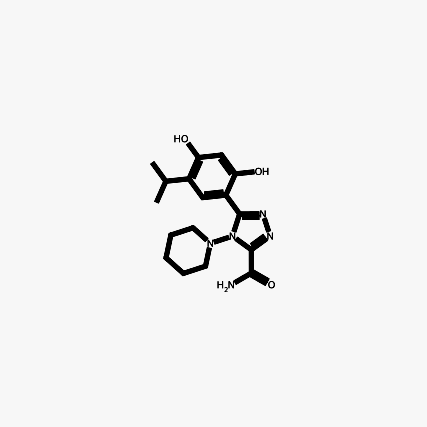 CC(C)c1cc(-c2nnc(C(N)=O)n2N2CCCCC2)c(O)cc1O